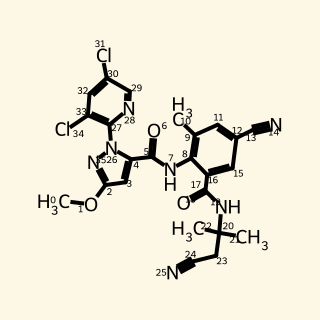 COc1cc(C(=O)Nc2c(C)cc(C#N)cc2C(=O)NC(C)(C)CC#N)n(-c2ncc(Cl)cc2Cl)n1